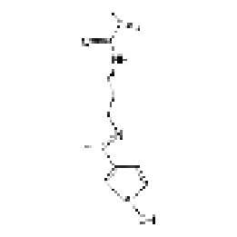 C=C(C)C(=O)NCCC/N=C(\C)c1ccc(O)cc1